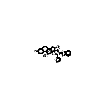 C[C@@H]1CC2C3CCC4=CC(=O)C=CC4(C)[C@@]3(Cl)[C@@H](O)CC2(C)[C@@]1(OC(=O)c1ccco1)C(=O)Nc1nc2ccccc2s1